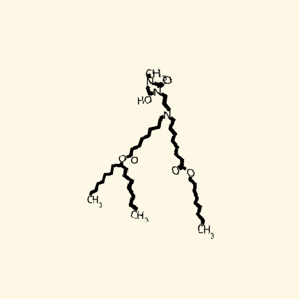 CCCCCCCCCOC(=O)CCCCCCCN(CCCCCCCC(=O)OC(CCCCCCCC)CCCCCCCC)CCCN1C(=O)N(C)CC1O